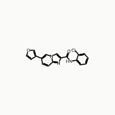 O=C(Nc1ccccc1Cl)c1cn2cc(-c3ccoc3)ccc2n1